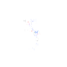 C[C@H]1CN(C(=O)C(C)(C)N)CCN1C(=O)Nc1ccn(-c2ccc(CN3CC4C(N)C4C3)cc2)c(=O)n1.Cl